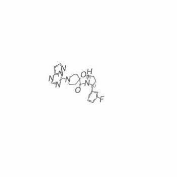 O=C1N2[C@@H](CC[C@H]2c2cccc(F)c2)OC12CCN(c1ncnc3ccnn13)CC2